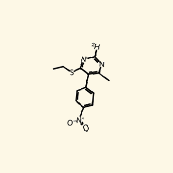 [2H]c1nc(C)c(-c2ccc([N+](=O)[O-])cc2)c(SCC)n1